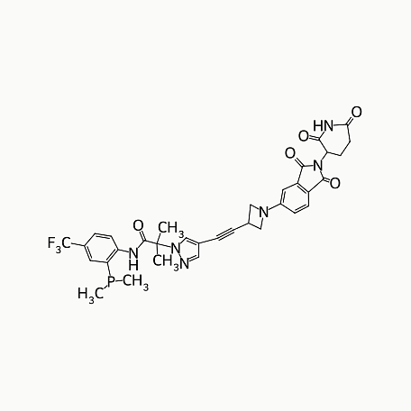 CP(C)c1cc(C(F)(F)F)ccc1NC(=O)C(C)(C)n1cc(C#CC2CN(c3ccc4c(c3)C(=O)N(C3CCC(=O)NC3=O)C4=O)C2)cn1